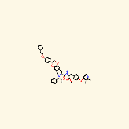 CC[C@@H](c1ccccc1)N1Cc2cc3c(cc2C[C@H]1C(=O)NC(Cc1ccc(Oc2ccnc(C)c2C)cc1)C(=O)OC)OC[C@H](c1ccc(OCCC2CCCC2)cc1)O3